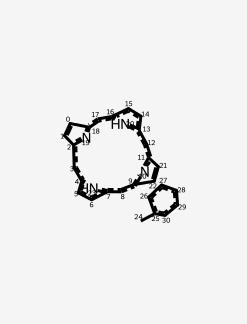 C1=Cc2cc3ccc(cc4nc(cc5ccc(cc1n2)[nH]5)C=C4)[nH]3.Cc1ccccc1